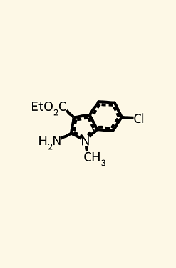 CCOC(=O)c1c(N)n(C)c2cc(Cl)ccc12